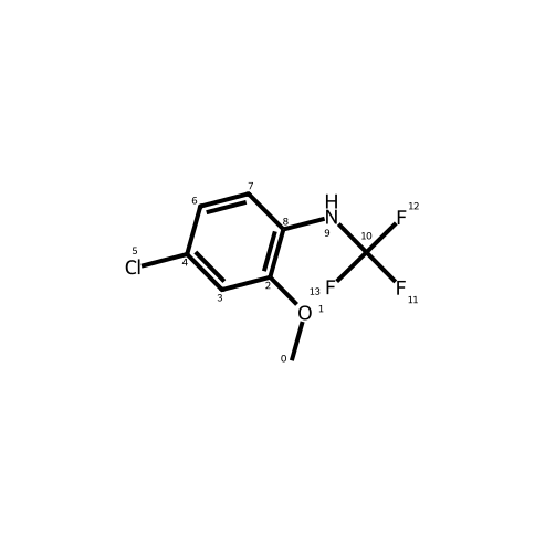 COc1cc(Cl)ccc1NC(F)(F)F